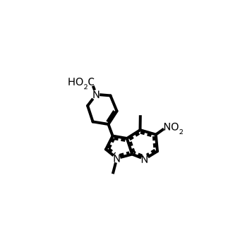 Cc1c([N+](=O)[O-])cnc2c1c(C1=CCN(C(=O)O)CC1)cn2C